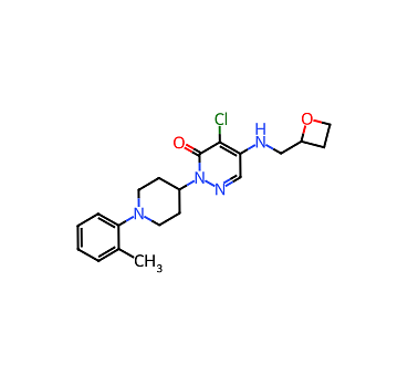 Cc1ccccc1N1CCC(n2ncc(NCC3CCO3)c(Cl)c2=O)CC1